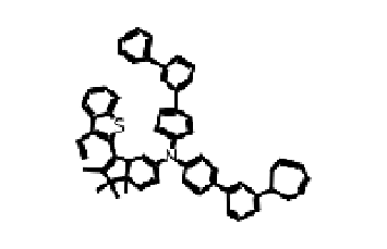 C=Cc1c(C2=C(C)C(C)(C)C3(C)C=CC(N(c4ccc(-c5cccc(-c6ccccc6)c5)cc4)c4ccc(-c5cccc(C6CC=CC=CC6)c5)cc4)=CC23)sc2ccccc12